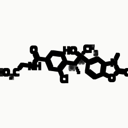 C[C@H](c1ccc(C(=O)NCC(=O)O)cc1Cl)[C@@](O)(c1ccc2oc(=O)n(C)c2c1)C(F)(F)F